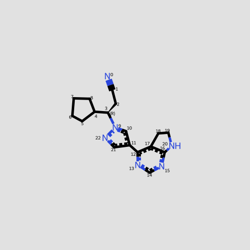 N#CC[C@H](C1CCCC1)n1cc(-c2ncnc3c2CCN3)cn1